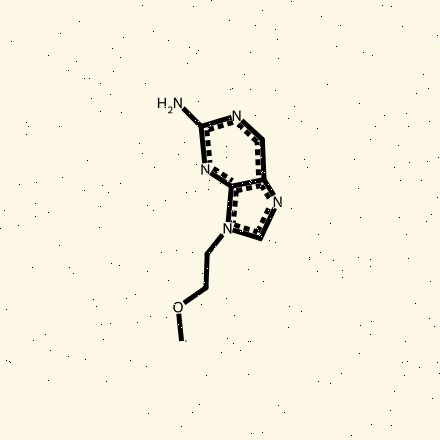 [CH2]OCCn1cnc2cnc(N)nc21